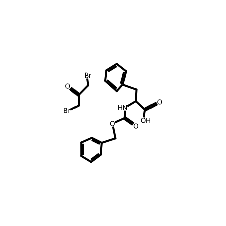 O=C(CBr)CBr.O=C(NC(Cc1ccccc1)C(=O)O)OCc1ccccc1